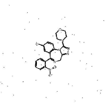 O=[N+]([O-])c1ccccc1C1=NCc2nnc(N3CCOCC3)n2-c2ccc(Cl)cc21